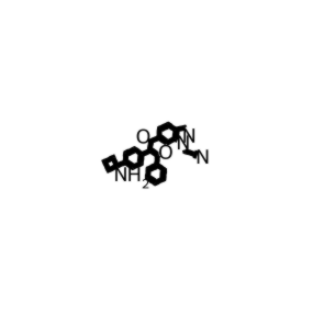 N#CCn1ncc2ccc3c(=O)c(-c4ccc(C5(N)CCC5)cc4)c(-c4ccccc4)oc3c21